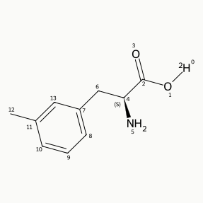 [2H]OC(=O)[C@@H](N)Cc1cccc(C)c1